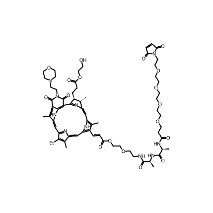 CCC1=C(C)c2cc3[nH]c(cc4nc(c5c6[nH]c(cc1n2)c(C)c6C(=O)N(CCN1CCOCC1)C5=O)[C@@H](CCC(=O)OCCO)[C@@H]4C)c(C)c3/C=C/C(=O)OCCOCCNC(=O)[C@H](C)NC(=O)[C@H](C)NC(=O)CCOCCOCCOCCOCCN1C(=O)C=CC1=O